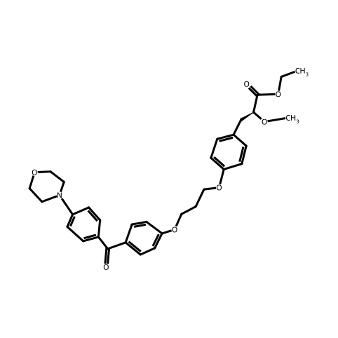 CCOC(=O)[C@H](Cc1ccc(OCCCOc2ccc(C(=O)c3ccc(N4CCOCC4)cc3)cc2)cc1)OC